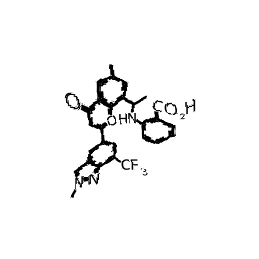 Cc1cc(C(C)Nc2ccccc2C(=O)O)c2oc(-c3cc(C(F)(F)F)c4nn(C)cc4c3)cc(=O)c2c1